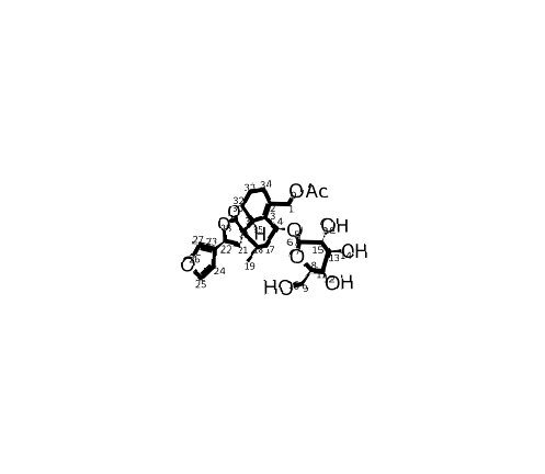 CC(=O)OCC1=C2[C@H](O[C@@H]3O[C@H](CO)[C@@H](O)[C@H](O)[C@H]3O)C[C@@H](C)[C@]3(C[C@@H](c4ccoc4)OC3=O)[C@H]2CCC1